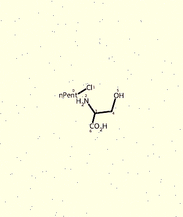 CCCCCCl.NC(CO)C(=O)O